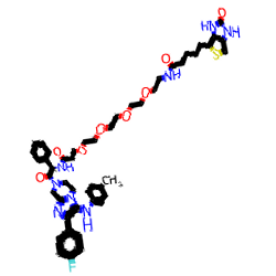 Cc1ccc(Nc2c(-c3ccc(F)cc3)nc3n2CCN(C(=O)[C@@H](NC(=O)CCOCCOCCOCCOCCNC(=O)CCCCC2SCC4NC(=O)NC42)c2ccccc2)C3)cc1